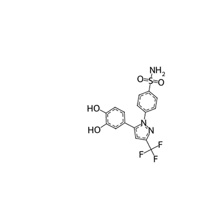 NS(=O)(=O)c1ccc(-n2nc(C(F)(F)F)cc2-c2ccc(O)c(O)c2)cc1